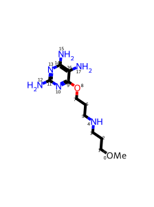 COCCCNCCCOc1nc(N)nc(N)c1N